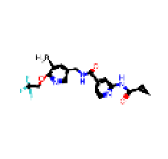 Bc1cc(CNC(=O)c2ccnc(NC(=O)C3CC3)c2)cnc1OCC(F)(F)F